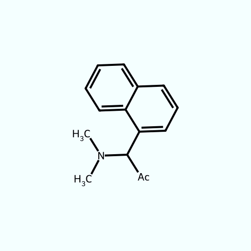 CC(=O)C(c1cccc2ccccc12)N(C)C